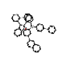 c1ccc(-c2ccc(N(c3cccc(-c4ccc5ccccc5c4)c3)c3ccccc3-c3oc4ccccc4c3-c3ccccc3-c3ccccc3)cc2)cc1